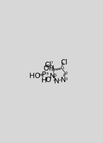 Clc1cnnnc1Cl.O=[PH](O)O